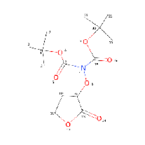 CC(C)(C)OC(=O)N(OC1CCOC1=O)C(=O)OC(C)(C)C